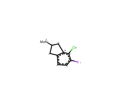 CNC1Cc2ccc(I)c(Cl)c2C1